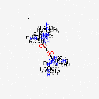 CCN(c1nc(NCC(=O)OCCCCOC(=O)CNc2nc(N(CC)C3CC(C)(C)NC(C)(C)C3)nc(N(CC)C3CC(C)(C)NC(C)(C)C3)n2)nc(N(CC)C2CC(C)(C)NC(C)(C)C2)n1)C1CC(C)(C)NC(C)(C)C1